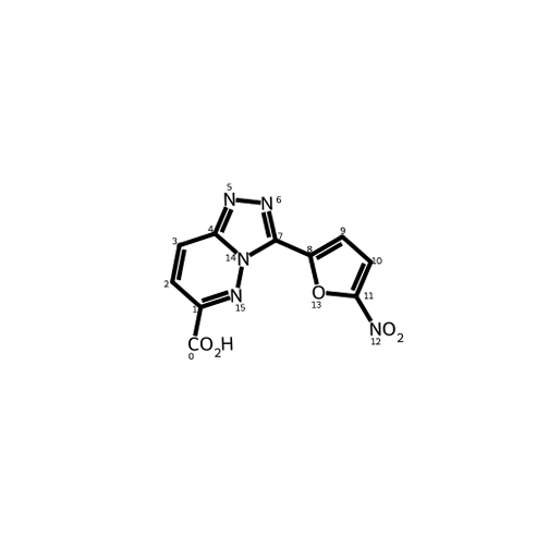 O=C(O)c1ccc2nnc(-c3ccc([N+](=O)[O-])o3)n2n1